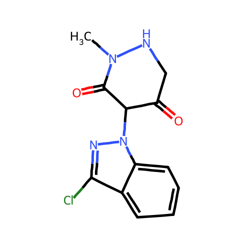 CN1NCC(=O)C(n2nc(Cl)c3ccccc32)C1=O